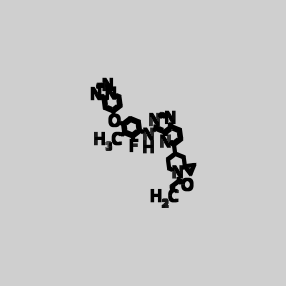 C=CC(=O)N1CCC(c2ccc3ncnc(Nc4ccc(Oc5ccn6ncnc6c5)c(C)c4F)c3n2)CC12CC2